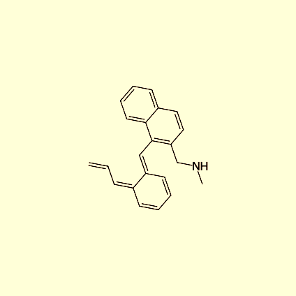 C=C/C=c1/cccc/c1=C\c1c(CNC)ccc2ccccc12